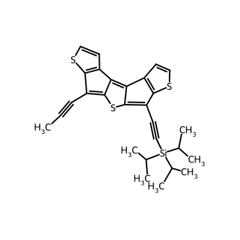 CC#CC1=c2sc3c(c2-c2ccsc21)-c1ccsc1C=3C#C[Si](C(C)C)(C(C)C)C(C)C